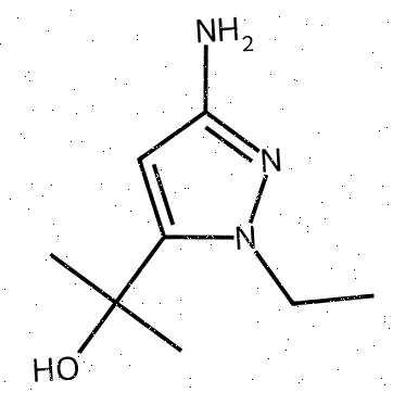 CCn1nc(N)cc1C(C)(C)O